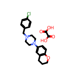 Clc1ccc(CN2CCN(c3ccc4c(c3)CCCO4)CC2)cc1.O=C(O)C(=O)O